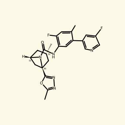 Cc1nnc([C@@]23C[C@@H](C)C[C@@H](C2)N3C(=O)Nc2cc(-c3cncc(F)c3)c(C)cc2F)o1